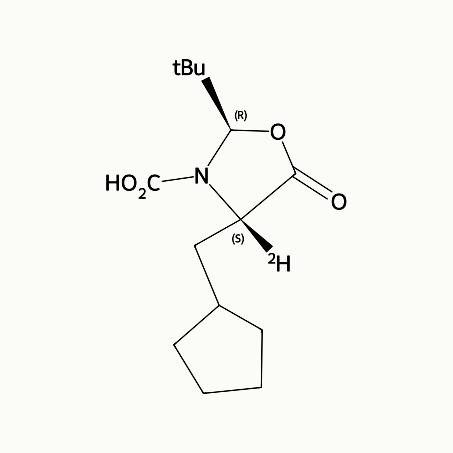 [2H][C@]1(CC2CCCC2)C(=O)O[C@H](C(C)(C)C)N1C(=O)O